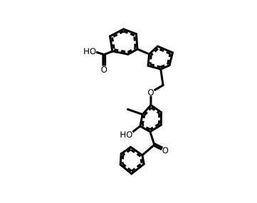 Cc1c(OCc2cccc(-c3cccc(C(=O)O)c3)c2)ccc(C(=O)c2ccccc2)c1O